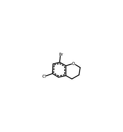 Clc1cc(Br)c2c(c1)CCCO2